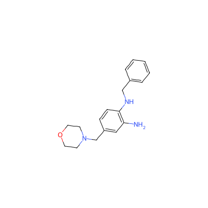 Nc1cc(CN2CCOCC2)ccc1NCc1ccccc1